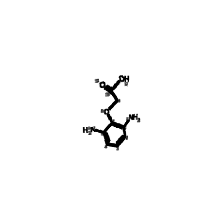 Nc1cccc(N)c1OCC(=O)O